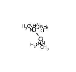 CNc1ncc(C#Cc2ccc3nc(C)n(C)c3c2)c2cc(NC(=O)C3CC3)ncc12